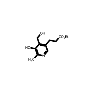 CCOC(=O)CCc1cnc(C)c(O)c1CO